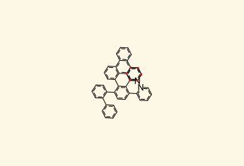 c1ccc(-c2ccccc2-c2ccc(-c3ccccn3)c(-c3ccccn3)c2-c2cccc3c4ccccc4c4ccccc4c23)cc1